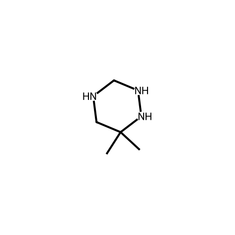 CC1(C)CNCNN1